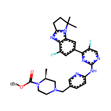 C[C@H]1CN(Cc2ccc(Nc3ncc(F)c(-c4cc(F)c5nc6n(c5c4)C(C)(C)CC6)n3)nc2)CCN1C(=O)OC(C)(C)C